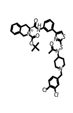 CC(=O)N(Sc1nc(-c2cccc(NC(=O)[C@@H]3Cc4ccccc4CN3C(=O)OC(C)(C)C)c2)cs1)C1CCN(Cc2ccc(Cl)c(Cl)c2)CC1